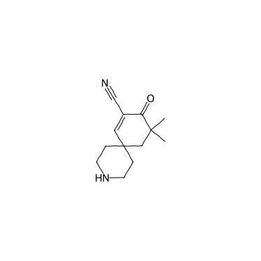 CC1(C)CC2(C=C(C#N)C1=O)CCNCC2